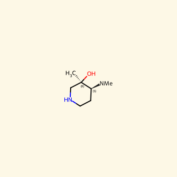 CN[C@H]1CCNC[C@@]1(C)O